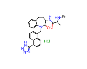 CCN[C@@H](C)C(=O)N[C@H]1CCc2ccccc2N(Cc2cccc3c(-c4nnn[nH]4)cccc23)C1=O.Cl